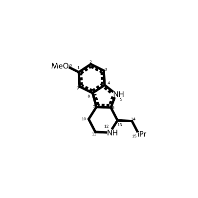 COc1ccc2[nH]c3c(c2c1)CCNC3CC(C)C